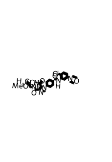 COC(C)(C)CNC(=O)c1ncn([C@H]2CC[C@H](C(=O)Nc3cc(N4CCOCC4)ccc3Cl)CC2)c1C(N)=O